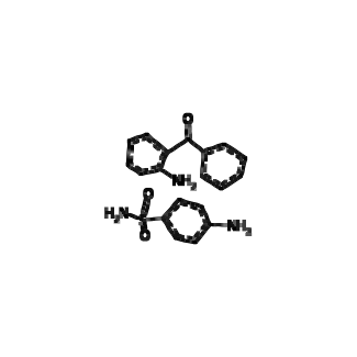 Nc1ccc(S(N)(=O)=O)cc1.Nc1ccccc1C(=O)c1ccccc1